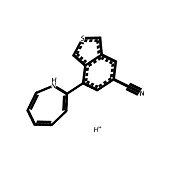 N#Cc1cc(C2=CC=CC=CN2)c2cscc2c1.[H+]